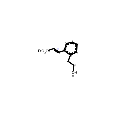 CCOC(=O)/C=C/c1ccccc1CCO